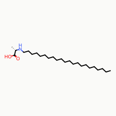 CCCCCCCCCCCCCCCCCCCCCCN[C@@H](C)C(=O)O